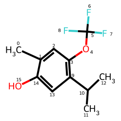 Cc1cc(OC(F)(F)F)c(C(C)C)cc1O